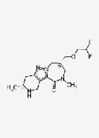 C[C@@H]1Cc2nn3c(c2CN1)C(=O)N(C)C[C@@H](COCC(F)F)C3